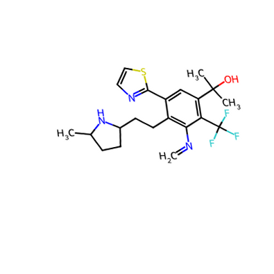 C=Nc1c(CCC2CCC(C)N2)c(-c2nccs2)cc(C(C)(C)O)c1C(F)(F)F